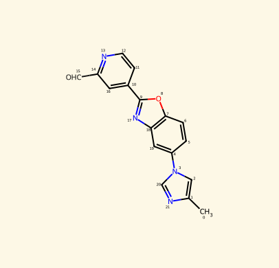 Cc1cn(-c2ccc3oc(-c4ccnc(C=O)c4)nc3c2)cn1